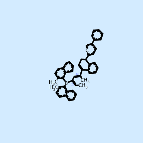 C/C=C(\C=C(/C)C1=CCC(c2ccc(-c3ccccc3)cc2)c2ccccc21)B(c1c(C)ccc2ccccc12)c1c(C)ccc2ccccc12